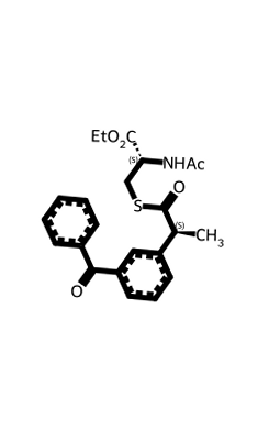 CCOC(=O)[C@@H](CSC(=O)[C@@H](C)c1cccc(C(=O)c2ccccc2)c1)NC(C)=O